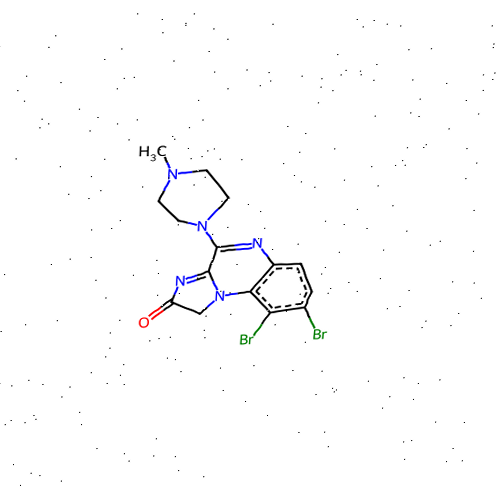 CN1CCN(C2=Nc3ccc(Br)c(Br)c3N3CC(=O)N=C23)CC1